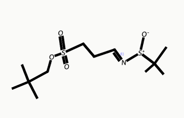 CC(C)(C)COS(=O)(=O)CC/C=N/[S+]([O-])C(C)(C)C